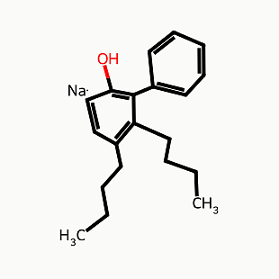 CCCCc1ccc(O)c(-c2ccccc2)c1CCCC.[Na]